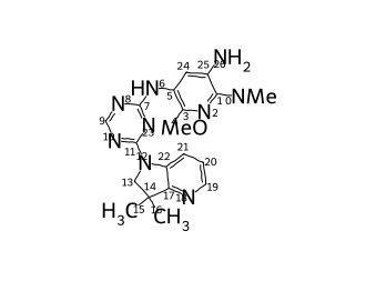 CNc1nc(OC)c(Nc2ncnc(N3CC(C)(C)c4ncccc43)n2)cc1N